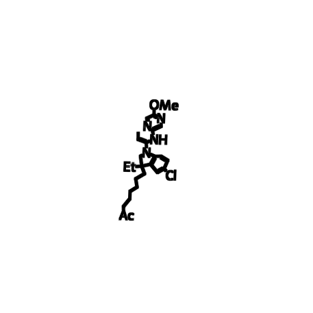 CC=C(Nc1cnc(OC)cn1)N1CC(CC)(CCCCCCC(C)=O)c2cc(Cl)ccc21